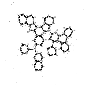 c1ccc(-c2nc(-n3c4ccccc4c4c5c6ccc7ccccc7c6sc5c5cc(N(c6ccccc6)c6ccc7ccccc7c6)ccc5c43)nc3c4ccccc4c4ccccc4c23)cc1